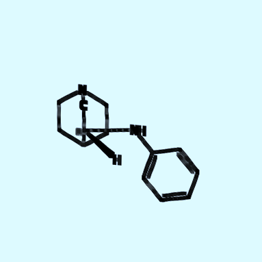 c1ccc(N[C@H]2CN3CCC2CC3)cc1